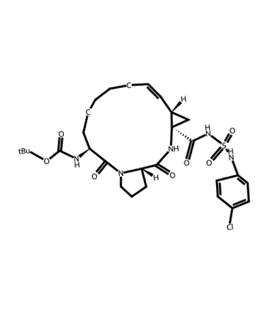 CC(C)(C)OC(=O)N[C@H]1CCCCC/C=C\[C@@H]2C[C@@]2(C(=O)NS(=O)(=O)Nc2ccc(Cl)cc2)NC(=O)[C@@H]2CCCN2C1=O